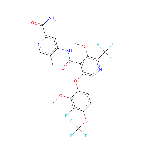 COc1c(Oc2cnc(C(F)(F)F)c(OC)c2C(=O)Nc2cc(C(N)=O)ncc2C)ccc(OC(F)(F)F)c1F